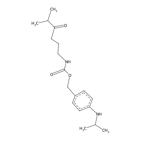 CC(C)Nc1ccc(COC(=O)NCCCC(=O)C(C)C)cc1